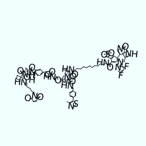 Cc1ncsc1-c1ccc(CNC(=O)[C@@H]2C[C@@H](OCNC(=O)OCc3ccc(NC(=O)[C@H](C)NC(=O)C4(C(=O)NCCCCCN5C(=O)C=CC5=O)CCC4)cc3)CN2C(=O)[C@@H](NC(=O)CCCCCCCCCCNC(=O)c2cc3c(cc2CS(C)(=O)=O)-c2cn(C)c(=O)c4[nH]cc(c24)CN3c2ncc(F)cc2F)C(C)(C)C)cc1